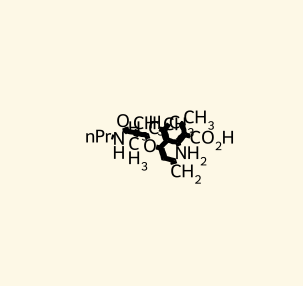 C=C/C=C(/OCC(C)(C)C(=O)NCCC)C(=C(C)C)/C(N)=C(\C(=C)C)C(=O)O